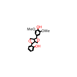 COc1cc(C2OCC3C(c4ccccc4O)OCC23)cc(OC)c1O